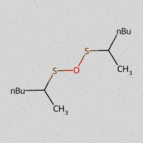 CCCCC(C)SOSC(C)CCCC